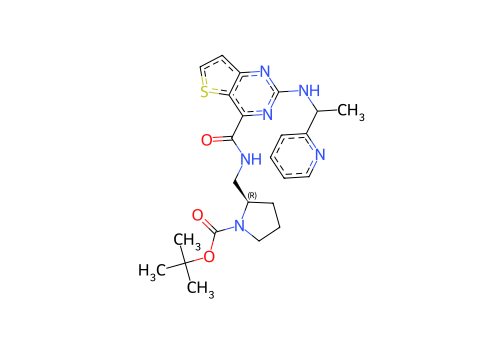 CC(Nc1nc(C(=O)NC[C@H]2CCCN2C(=O)OC(C)(C)C)c2sccc2n1)c1ccccn1